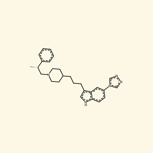 C[C@@H](CN1CCC(CCCc2c[nH]c3ccc(-n4cnnc4)cc23)CC1)c1ccccc1